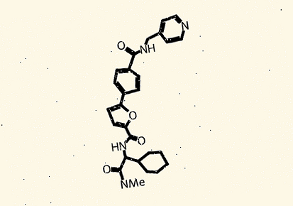 CNC(=O)C(NC(=O)c1ccc(-c2ccc(C(=O)NCc3ccncc3)cc2)o1)C1CCCCC1